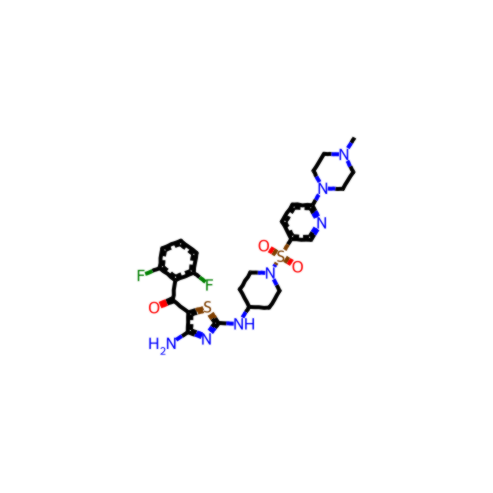 CN1CCN(c2ccc(S(=O)(=O)N3CCC(Nc4nc(N)c(C(=O)c5c(F)cccc5F)s4)CC3)cn2)CC1